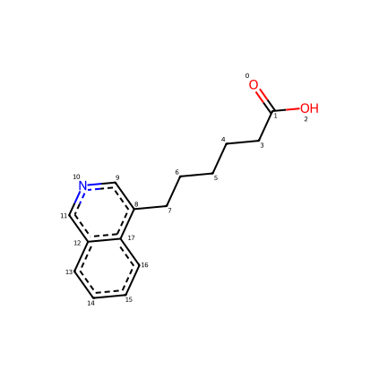 O=C(O)CCCCCc1cncc2ccccc12